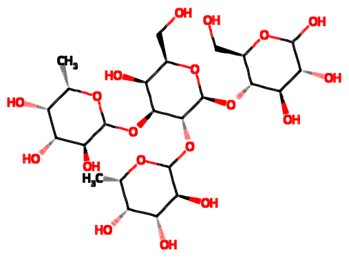 C[C@@H]1OC(O[C@H]2[C@H](O[C@H]3[C@H](O)[C@@H](O)C(O)O[C@@H]3CO)O[C@H](CO)[C@H](O)[C@@H]2OC2O[C@@H](C)[C@@H](O)[C@@H](O)[C@@H]2O)[C@@H](O)[C@H](O)[C@@H]1O